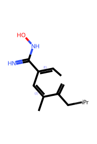 C=C(CC(C)C)/C(C)=C\C(=C/C)C(=N)NO